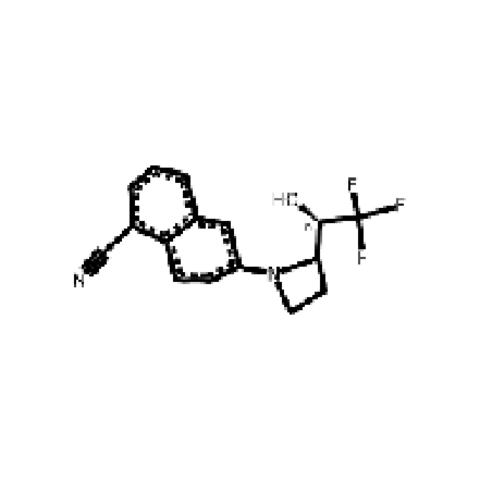 N#Cc1cccc2cc(N3CCC3[C@@H](O)C(F)(F)F)ccc12